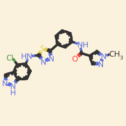 Cn1cc(C(=O)Nc2cccc(-c3nnc(Nc4ccc5[nH]ncc5c4Cl)s3)c2)cn1